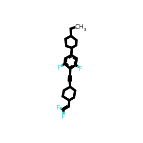 CCC1CCC(c2cc(F)c(C#CC3CCC(C=C(F)F)CC3)c(F)c2)CC1